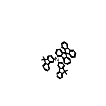 CC1(C)c2ccccc2-c2cc(N(c3ccc4c(c3)-c3ccccc3C4(C)C)c3cccc4c3-c3ccccc3C43c4ccccc4-c4ccccc43)ccc21